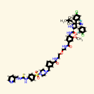 COc1cc(C(=O)NCCOCCNC(=O)c2cccc(CN3CCN(S(=O)(=O)c4ccc(NC(=S)NCc5cccnc5)cc4)CC3)c2)ccc1NC(=O)[C@@H]1N[C@@H](CC(C)(C)C)[C@](C#N)(c2ccc(Cl)cc2F)[C@H]1c1cccc(Cl)c1F